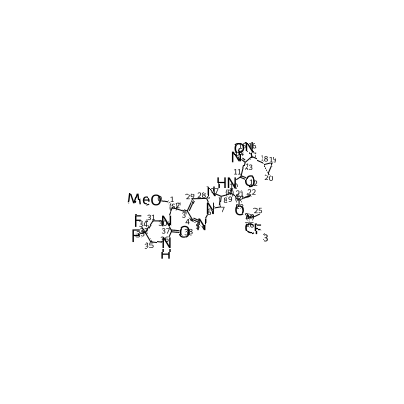 COC[C@H](c1cnn2cc([C@@H](NC(=O)c3nonc3C3CC3)[C@@H](C)O[C@H](C)C(F)(F)F)nc2c1)N1CC(F)(F)CNC1=O